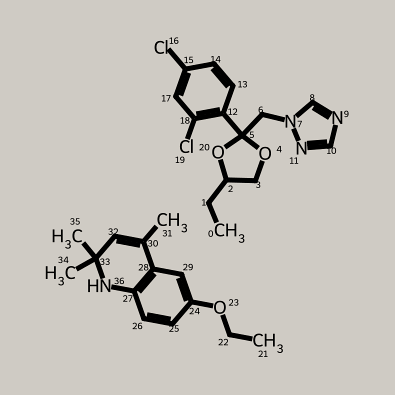 CCC1COC(Cn2cncn2)(c2ccc(Cl)cc2Cl)O1.CCOc1ccc2c(c1)C(C)=CC(C)(C)N2